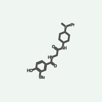 CC(C)N(C)C1CCC(NC(=O)CNC(=O)c2ccc(O)c(C(C)(C)C)c2)CC1